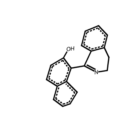 Oc1ccc2ccccc2c1C1=NCCc2ccccc21